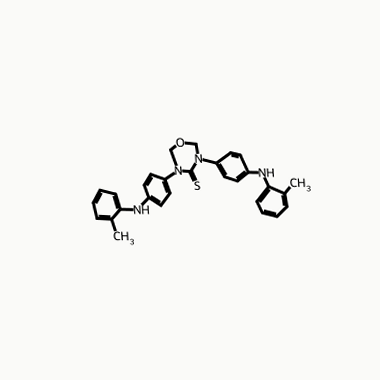 Cc1ccccc1Nc1ccc(N2COCN(c3ccc(Nc4ccccc4C)cc3)C2=S)cc1